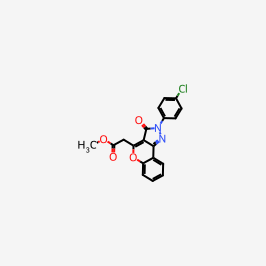 COC(=O)Cc1oc2ccccc2c2nn(-c3ccc(Cl)cc3)c(=O)c1-2